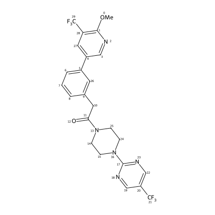 COc1ncc(-c2cccc(CC(=O)N3CCN(c4ncc(C(F)(F)F)cn4)CC3)c2)cc1C(F)(F)F